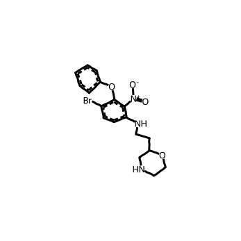 O=[N+]([O-])c1c(NCCC2CNCCO2)ccc(Br)c1Oc1ccccc1